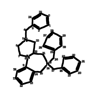 c1ccc(CN2CCN3c4ccccc4C[N+](Cc4ccccc4)(Cc4ccccc4)CC3C2)cc1